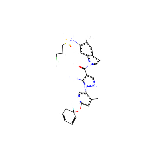 COc1cc2ccn(C(=O)c3cnn(-c4cnc(OC5(F)C=CC=CC5)cc4C)c3N)c2cc1NS(=O)(=O)CCCCl